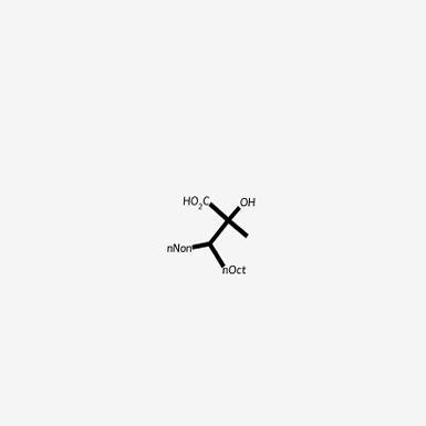 CCCCCCCCCC(CCCCCCCC)C(C)(O)C(=O)O